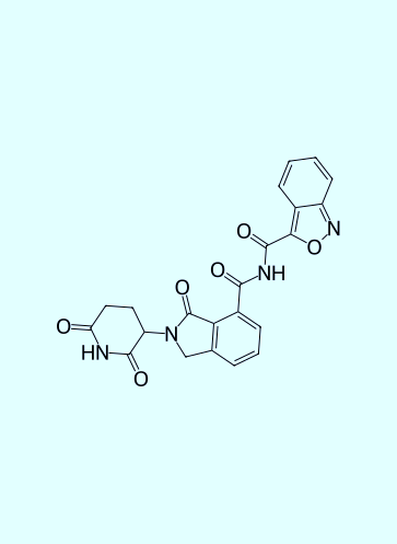 O=C1CCC(N2Cc3cccc(C(=O)NC(=O)c4onc5ccccc45)c3C2=O)C(=O)N1